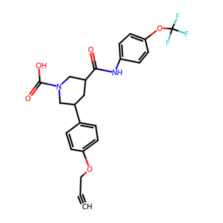 C#CCOc1ccc(C2CC(C(=O)Nc3ccc(OC(F)(F)F)cc3)CN(C(=O)O)C2)cc1